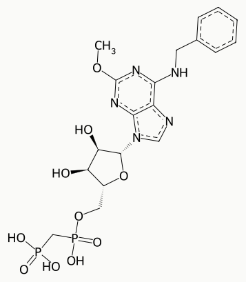 COc1nc(NCc2ccccc2)c2ncn([C@@H]3O[C@H](COP(=O)(O)CP(=O)(O)O)[C@@H](O)[C@H]3O)c2n1